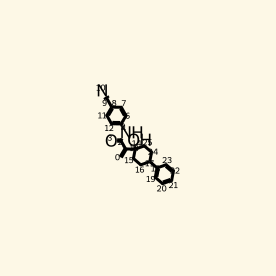 C=C(C(=O)Nc1ccc(C#N)cc1)C1(O)CCC(c2ccccc2)CC1